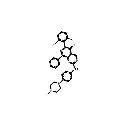 CN1CCN(c2ccc(Nc3ncc4c(=O)n(-c5c(Cl)cccc5Cl)nc(-c5ccccc5)c4n3)cc2)CC1